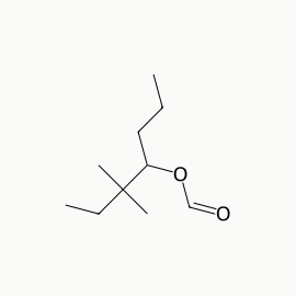 CCCC(OC=O)C(C)(C)CC